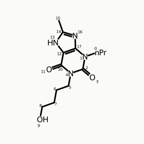 CCCn1c(=O)n(CCCCO)c(=O)c2[nH]c(C)nc21